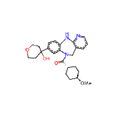 CO[C@H]1CC[C@H](C(=O)N2Cc3cccnc3Nc3ccc(C4(O)CCOCC4)cc32)CC1